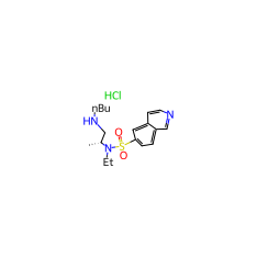 CCCCNC[C@@H](C)N(CC)S(=O)(=O)c1ccc2cnccc2c1.Cl